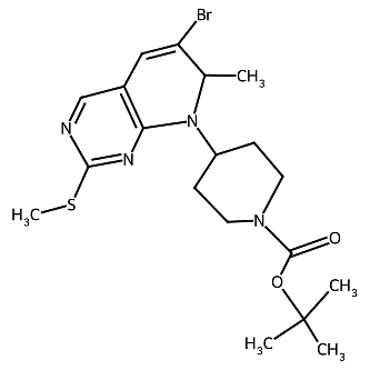 CSc1ncc2c(n1)N(C1CCN(C(=O)OC(C)(C)C)CC1)C(C)C(Br)=C2